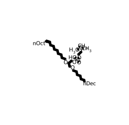 CCCCCCCC/C=C\CCCCCCCCOC(COCCCCCCCCCCCCCCCC)COP(=O)(O)OCC[N+](C)(C)C